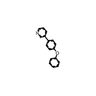 [c]1ncccc1-c1ccc(Oc2ccccc2)cc1